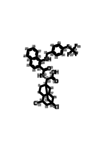 O=C(N[C@H](C(=O)O)C12CCC3C(Cl)CC(Cl)(CC3C1)C2)c1ccc2ccccc2c1NCc1ccc(SC(F)(F)F)cc1